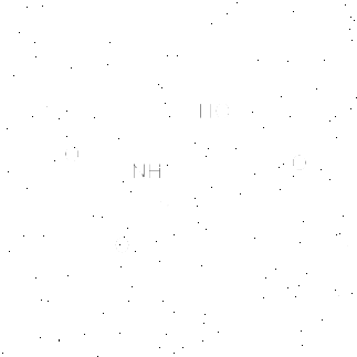 CC(C)(C)ONC(=O)[C@@H](CC1CC1)C(=O)O